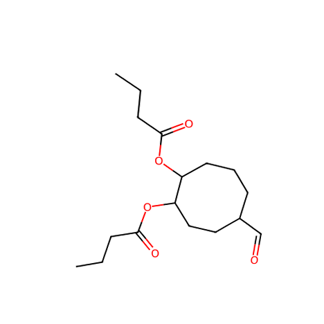 CCCC(=O)OC1CCCC(C=O)CCC1OC(=O)CCC